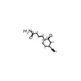 C#CC1CCN(CCCC(N)=O)C(=O)C1